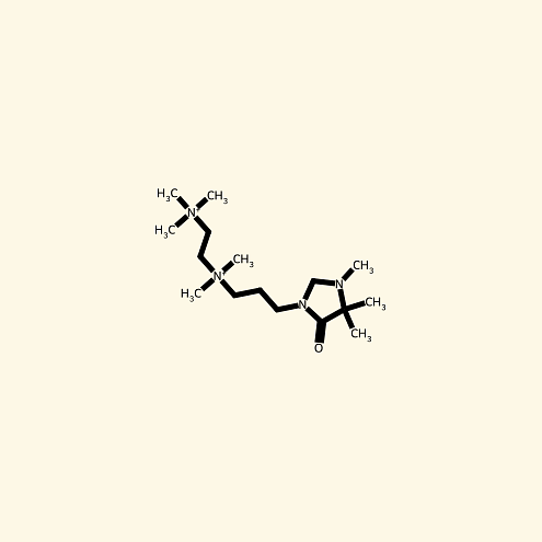 CN1CN(CCC[N+](C)(C)CC[N+](C)(C)C)C(=O)C1(C)C